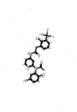 CC(=O)N(c1cc(NC(=O)Cc2cccc(C(F)(F)F)c2Cl)ccn1)c1cc(F)ccc1Cl